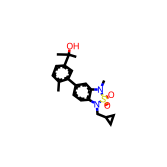 Cc1ccc(C(C)(C)O)cc1-c1ccc2c(c1)N(C)S(=O)(=O)N2CC1CC1